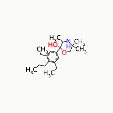 CCCc1c(CC)cc(C2(O)OCC(C)(C)NC2C)cc1CC